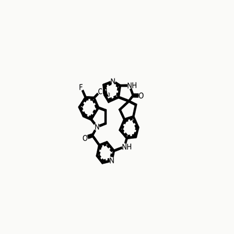 Cc1c(F)ccc2c1CCN2C(=O)c1ccnc(Nc2ccc3c(c2)CC2(C3)C(=O)Nc3ncccc32)c1